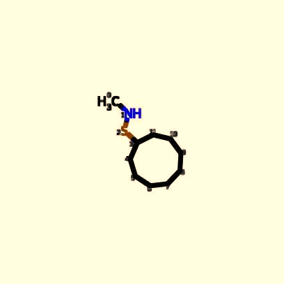 CNSC1CCCCCCCC1